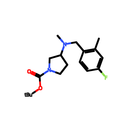 Cc1cc(F)ccc1CN(C)C1CCN(C(=O)OC(C)(C)C)C1